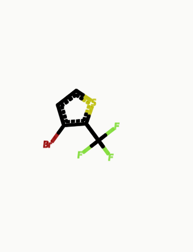 FC(F)(F)c1sccc1Br